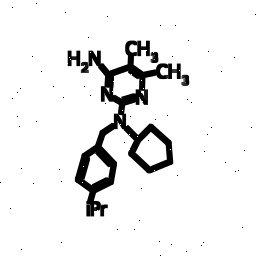 Cc1nc(N(Cc2ccc(C(C)C)cc2)C2CCCCC2)nc(N)c1C